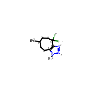 CCn1nnc2c1CCC(C(C)C)CCC2(F)F